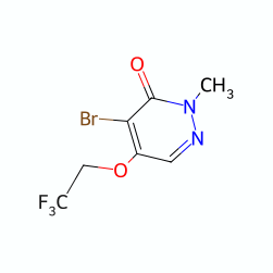 Cn1ncc(OCC(F)(F)F)c(Br)c1=O